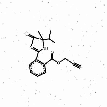 C#CCOC(=O)c1ccccc1C1=NC(=O)C(C)(C(C)C)N1